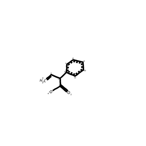 C=CC(C([O])=O)c1ccccc1